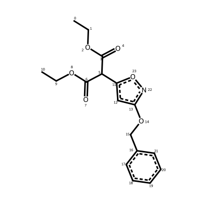 CCOC(=O)C(C(=O)OCC)c1cc(OCc2ccccc2)no1